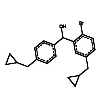 OC(c1ccc(CC2CC2)cc1)c1cc(CC2CC2)ccc1Br